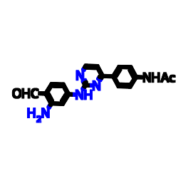 CC(=O)Nc1ccc(-c2ccnc(Nc3ccc(C=O)c(N)c3)n2)cc1